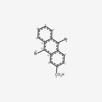 O=C(O)c1ccc2c(Br)c3ccccc3c(Br)c2c1